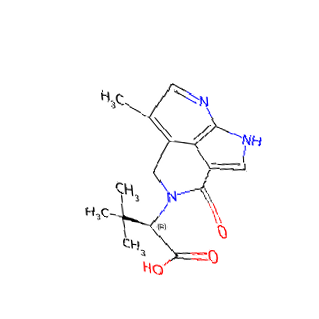 Cc1cnc2[nH]cc3c2c1CN([C@@H](C(=O)O)C(C)(C)C)C3=O